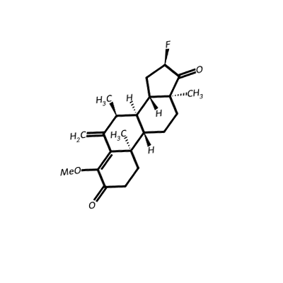 C=C1C2=C(OC)C(=O)CC[C@]2(C)[C@H]2CC[C@]3(C)C(=O)[C@H](F)C[C@H]3[C@@H]2[C@@H]1C